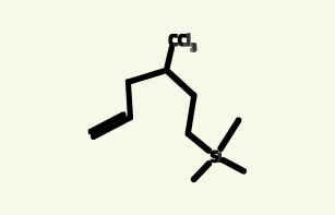 C=CCC(CC[Si](C)(C)C)C(Cl)(Cl)Cl